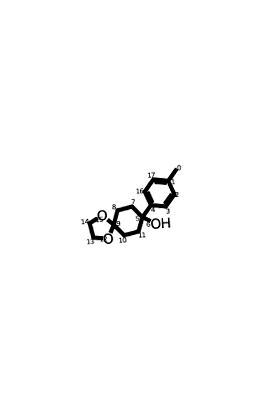 Cc1ccc(C2(O)CCC3(CC2)OCCO3)cc1